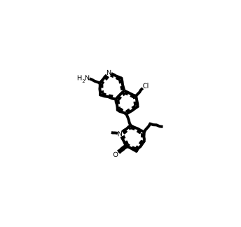 CCc1ccc(=O)n(C)c1-c1cc(Cl)c2cnc(N)cc2c1